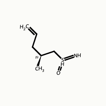 C=CC[C@H](C)C[SH](=N)=O